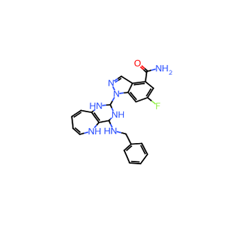 NC(=O)c1cc(F)cc2c1cnn2C1NC2=C(NC=CC=C2)C(NCc2ccccc2)N1